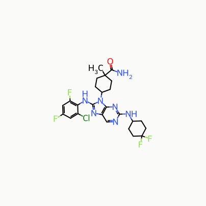 CC1(C(N)=O)CCC(n2c(Nc3c(F)cc(F)cc3Cl)nc3cnc(NC4CCC(F)(F)CC4)nc32)CC1